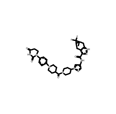 CC12Cc3[nH]nc(C(=O)Nc4cnn(C5CCN(C(=O)C6CCN(c7ccc(N8CCC(=O)NC8=O)cc7)CC6)CC5)c4)c3CC1C2(F)F